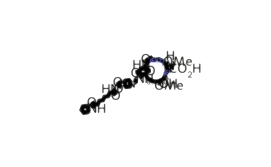 CO[C@H]1/C=C\C=C(/C)C(=O)NC2=CC(=O)C(NCCN3CCN(C(=O)ONC(=O)CCCCCCC(=O)Nc4ccccc4)CC3)=C(C[C@@H](C)C[C@H](OC)[C@@H](O)[C@@H](C)/C=C(\C)[C@@H]1NC(=O)O)C2=O